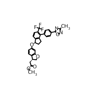 COC(=O)C[C@@H]1COc2cc(O[C@@H]3CCc4c3ccc(C(F)(F)F)c4-c3ccc(-c4nc(C)no4)cc3)ccc21